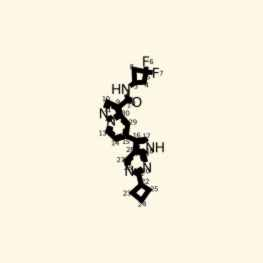 O=C(NC1CC(F)(F)C1)c1cnn2ccc(-c3c[nH]c4nc(C5CCC5)ncc34)cc12